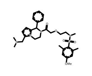 COc1cc(C)c(S(=O)(=O)N(C)CCOCC(=O)N2CCn3c(CN(C)C)ccc3C2c2ccccc2)c(C)c1